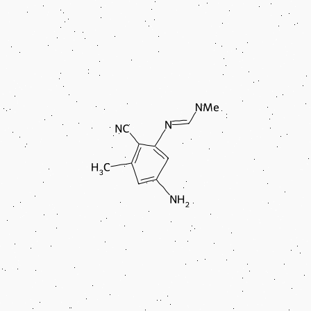 CN/C=N/c1cc(N)cc(C)c1C#N